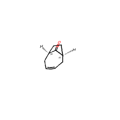 O=C1[C@@H]2CC=CC[C@H]1CC2